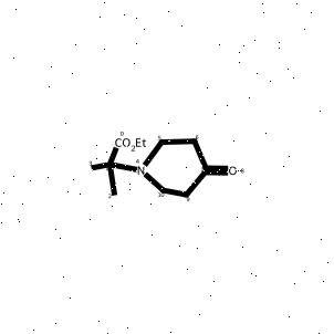 CCOC(=O)C(C)(C)N1CCC(=O)CC1